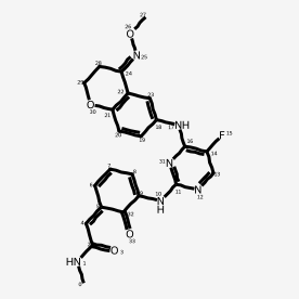 CNC(=O)C=C1C=CC=C(Nc2ncc(F)c(Nc3ccc4c(c3)C(=NOC)CCO4)n2)C1=O